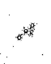 CC(=O)Nc1cc(OCc2ccccn2)cc(F)c1Nc1ncnc2ccccc12